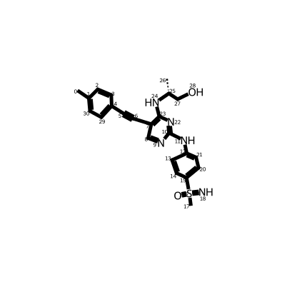 Cc1ccc(C#Cc2cnc(Nc3ccc(S(C)(=N)=O)cc3)nc2N[C@H](C)CO)cc1